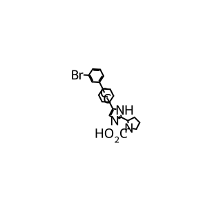 O=C(O)N1CCCC1c1ncc(C23CCC(c4cccc(Br)c4)(CC2)CC3)[nH]1